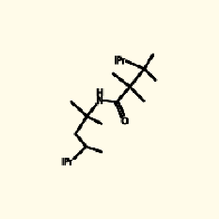 CC(C)C(C)CC(C)(C)NC(=O)C(C)(C)C(C)(C)C(C)C